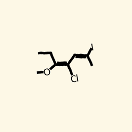 CC/C(OC)=C(Cl)\C=C(/C)I